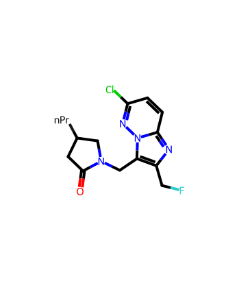 CCCC1CC(=O)N(Cc2c(CF)nc3ccc(Cl)nn23)C1